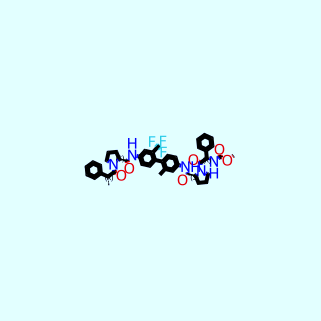 COC(=O)N[C@@H](C(=O)N1CCC[C@H]1C(=O)Nc1ccc(-c2ccc(NC(=O)[C@@H]3CCCN3C(=O)[C@H](C)c3ccccc3)cc2C(F)(F)F)c(C)c1)c1ccccc1